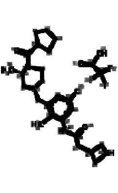 Cc1c(CN2CCN(C(=O)C3CCCC3)[C@@H](C)C2)cc(Cl)cc1NC(=O)CC1CNC1.O=C(O)C(F)(F)F